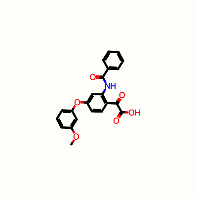 COc1cccc(Oc2ccc(C(=O)C(=O)O)c(NC(=O)c3ccccc3)c2)c1